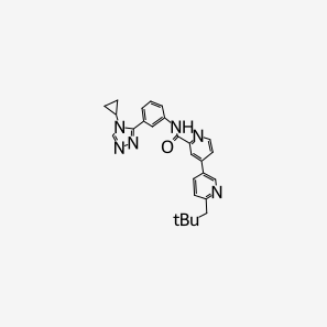 CC(C)(C)Cc1ccc(-c2ccnc(C(=O)Nc3cccc(-c4nncn4C4CC4)c3)c2)cn1